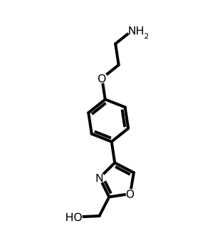 NCCOc1ccc(-c2coc(CO)n2)cc1